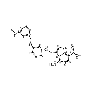 COc1cccc(COc2cccc(OCc3csc4c(C(=O)O)cnc(N)c34)c2)c1